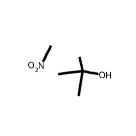 CC(C)(C)O.C[N+](=O)[O-]